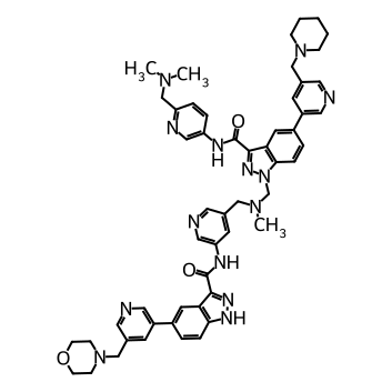 CN(C)Cc1ccc(NC(=O)c2nn(CN(C)Cc3cncc(NC(=O)c4n[nH]c5ccc(-c6cncc(CN7CCOCC7)c6)cc45)c3)c3ccc(-c4cncc(CN5CCCCC5)c4)cc23)cn1